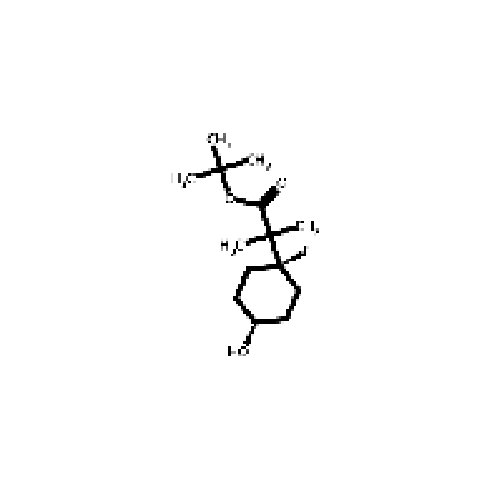 CC(C)(C)OC(=O)C(C)(C)[C@]1(F)CC[C@@H](O)CC1